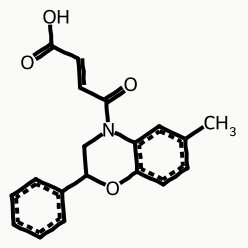 Cc1ccc2c(c1)N(C(=O)C=CC(=O)O)CC(c1ccccc1)O2